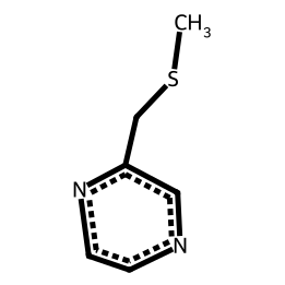 CSCc1cnccn1